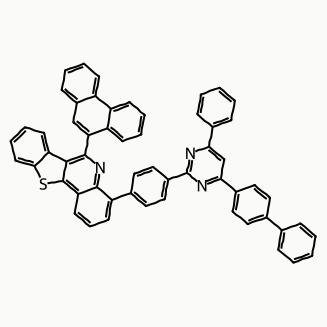 c1ccc(-c2ccc(-c3cc(-c4ccccc4)nc(-c4ccc(-c5cccc6c5nc(-c5cc7ccccc7c7ccccc57)c5c7ccccc7sc65)cc4)n3)cc2)cc1